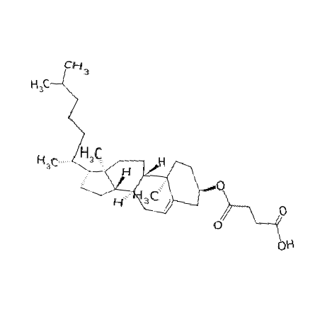 CC(C)CCC[C@@H](C)[C@H]1CC[C@H]2[C@@H]3CC=C4C[C@H](OC(=O)CCC(=O)O)CC[C@]4(C)[C@H]3CC[C@]12C